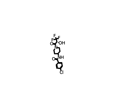 O=C(NC1CCN(C(=O)[C@@H](O)C(F)(F)F)CC1)c1ccc(Cl)cc1